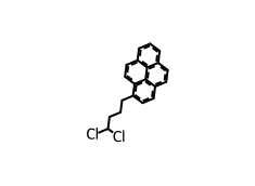 ClC(Cl)CCCc1ccc2ccc3cccc4ccc1c2c34